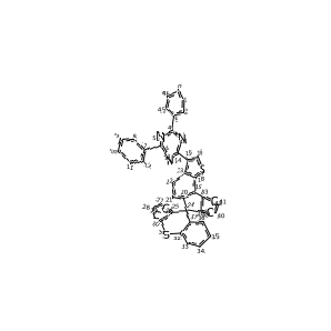 c1ccc(-c2nc(-c3ccccc3)nc(-c3csc4c5c(ccc34)C3(c4ccccc4Sc4ccccc43)c3ccccc3-5)n2)cc1